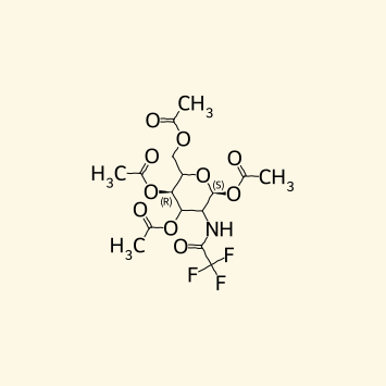 CC(=O)OCC1O[C@@H](OC(C)=O)C(NC(=O)C(F)(F)F)C(OC(C)=O)[C@H]1OC(C)=O